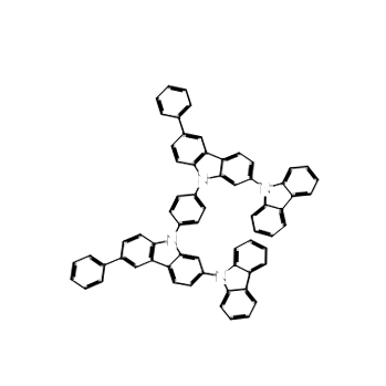 c1ccc(-c2ccc3c(c2)c2ccc(-n4c5ccccc5c5ccccc54)cc2n3-c2ccc(-n3c4ccc(-c5ccccc5)cc4c4ccc(-n5c6ccccc6c6ccccc65)cc43)cc2)cc1